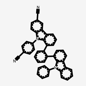 N#Cc1ccc(-n2c3ccc(C#N)cc3c3cccc(-c4ccccc4-c4cccc5c6ccccc6n(-c6ccccc6)c45)c32)cc1